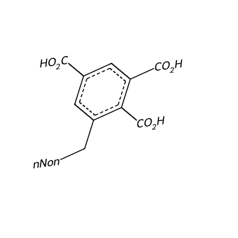 CCCCCCCCCCc1cc(C(=O)O)cc(C(=O)O)c1C(=O)O